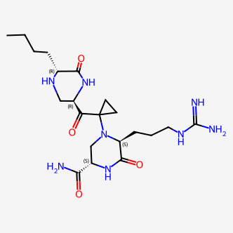 CCCC[C@H]1NC[C@H](C(=O)C2(N3C[C@@H](C(N)=O)NC(=O)[C@@H]3CCCNC(=N)N)CC2)NC1=O